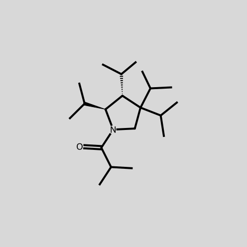 CC(C)C(=O)N1CC(C(C)C)(C(C)C)[C@@H](C(C)C)[C@@H]1C(C)C